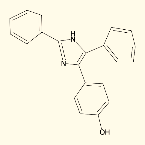 Oc1ccc(-c2nc(-c3ccccc3)[nH]c2-c2ccccc2)cc1